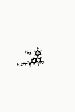 C=CCOC(=O)c1ccc2c(c1)NC(=O)CN2C1CCNCC1.Cl.Cl